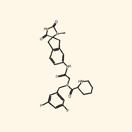 CN1C(=O)NC(=O)C12Cc1ccc(NC(=O)CN(Cc3cc(F)cc(F)c3)C(=O)C3CCCCN3)cc1C2